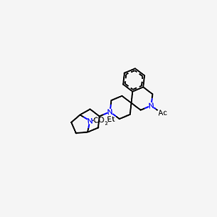 CCOC(=O)N1C2CCC1CC(N1CCC3(CC1)CN(C(C)=O)Cc1ccccc13)C2